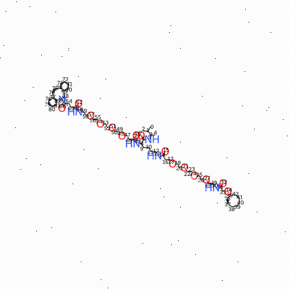 CC(C)C(C)NC(=O)C(CCCCNC(=O)CCOCCOCCOCCOCCNC(=O)COC1C#CCCCCC1)NC(=O)CCOCCOCCOCCOCCNC(=O)CCC(=O)N1Cc2ccccc2C#Cc2ccccc21